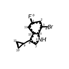 Fc1cc(Br)c2[nH]cc(C3CC3)c2c1